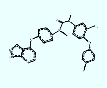 CN(C(=O)N(C)c1ccc(Oc2ccc(F)cc2)c(C(F)(F)F)c1)c1ccc(Oc2ccnc3[nH]ncc23)cc1